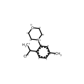 Cc1ccc(C(C)Cl)c(N2CCOCC2)c1